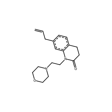 C=CCc1ccc2c(c1)N(CCN1CCOCC1)C(=O)CC2